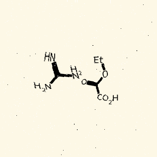 CCOC(=O)C(=O)O.N=C(N)N